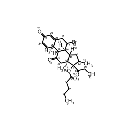 CCCCC(=O)O[C@]1(C(=O)CO)C(C)C[C@H]2[C@@H]3C(Br)CC4=CC(=O)C=C[C@]4(C)[C@H]3C(=O)C[C@@]21C